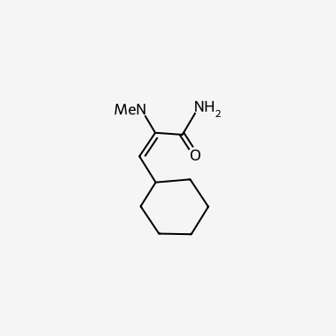 CNC(=CC1CCCCC1)C(N)=O